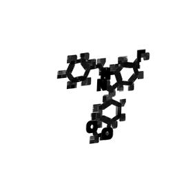 Fc1ccc2c(-c3ccc4c(c3)OCO4)nn(Cc3ccccc3)c2c1